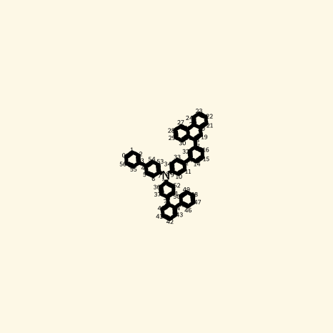 c1ccc(-c2ccc(N(c3ccc(-c4cccc(-c5cc6ccccc6c6ccccc56)c4)cc3)c3ccc(-c4ccccc4-c4ccccc4)cc3)cc2)cc1